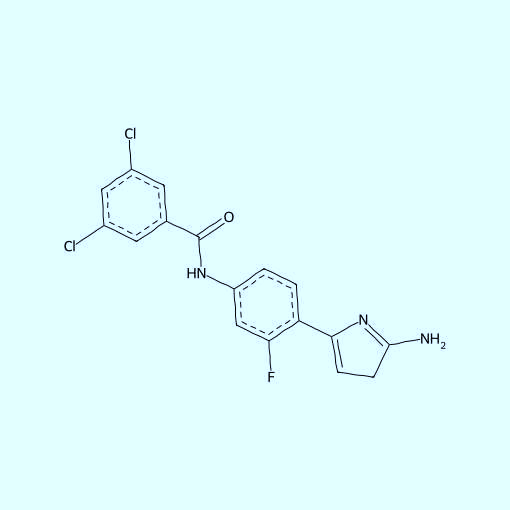 NC1=NC(c2ccc(NC(=O)c3cc(Cl)cc(Cl)c3)cc2F)=CC1